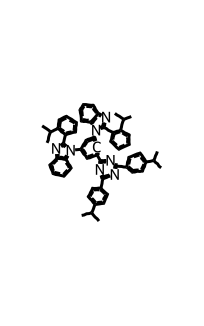 CC(C)c1ccc(-c2nc(-c3ccc(C(C)C)cc3)nc(-c3cc(-n4c(-c5ccccc5C(C)C)nc5ccccc54)cc(-n4c(-c5ccccc5C(C)C)nc5ccccc54)c3)n2)cc1